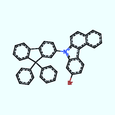 Brc1ccc2c3c4ccccc4ccc3n(-c3ccc4c(c3)C(c3ccccc3)(c3ccccc3)c3ccccc3-4)c2c1